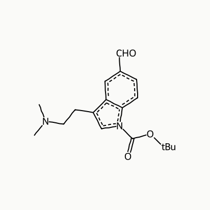 CN(C)CCc1cn(C(=O)OC(C)(C)C)c2ccc(C=O)cc12